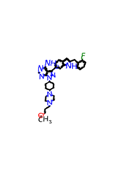 COCCCN1CCN([C@H]2CC[C@H](n3nc(-c4ccc5cc(Cc6ccccc6F)[nH]c5c4)c4c(N)ncnc43)CC2)CC1